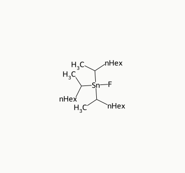 CCCCCC[CH](C)[Sn]([F])([CH](C)CCCCCC)[CH](C)CCCCCC